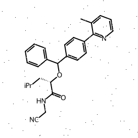 Cc1cccnc1-c1ccc(C(O[C@@H](CC(C)C)C(=O)NCC#N)c2ccccc2)cc1